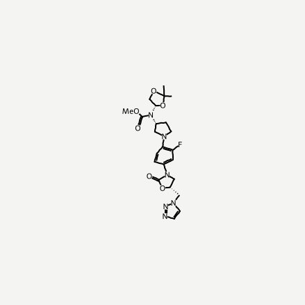 COC(=O)N([C@@H]1CCN(c2ccc(N3C[C@H](Cn4ccnn4)OC3=O)cc2F)C1)[C@@H]1COC(C)(C)O1